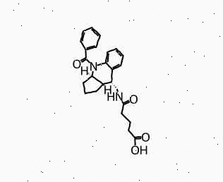 O=C(O)CCCC(=O)NC[C@H]1c2ccccc2N(C(=O)c2ccccc2)[C@@H]2CCC[C@@H]21